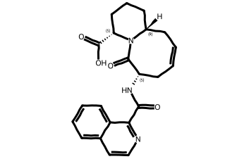 O=C(N[C@H]1CC=CC[C@H]2CCC[C@@H](C(=O)O)N2C1=O)c1nccc2ccccc12